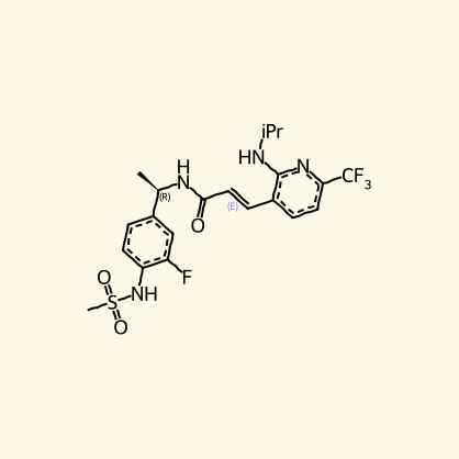 CC(C)Nc1nc(C(F)(F)F)ccc1/C=C/C(=O)N[C@H](C)c1ccc(NS(C)(=O)=O)c(F)c1